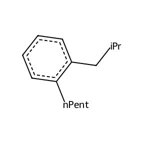 [CH2]CCCCc1ccccc1CC(C)C